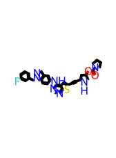 O=C(OC1CNC(C#Cc2cc3c(Nc4ccc5c(cnn5Cc5cccc(F)c5)c4)ncnc3s2)C1)N1CCCC1